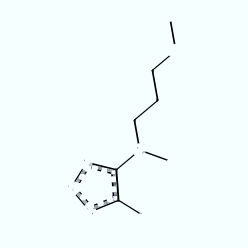 COCCCN(C)c1nn[nH]c1F